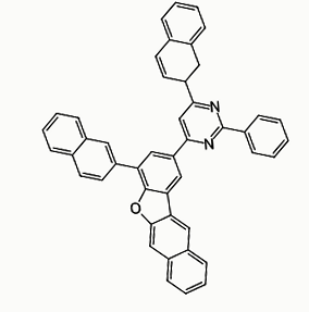 C1=CC(c2cc(-c3cc(-c4ccc5ccccc5c4)c4oc5cc6ccccc6cc5c4c3)nc(-c3ccccc3)n2)Cc2ccccc21